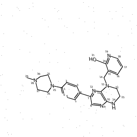 C=C(/C=C\C(=C/C)c1cnc2c(n1)N(Cc1cccnc1O)CCN2)N1CCN(C)CC1